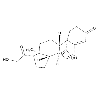 C[C@]12CC[C@H]3[C@@H](C=CC4=CC(=O)CC[C@@]43C(=O)O)[C@@H]1CC[C@@H]2C(=O)CO